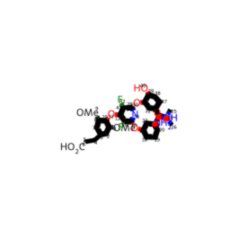 COc1cc(CCC(=O)O)cc(OC)c1Oc1c(F)c(Oc2cccc(C(=O)N(C)C)c2)nc(Oc2cc(C(=N)N)ccc2O)c1F